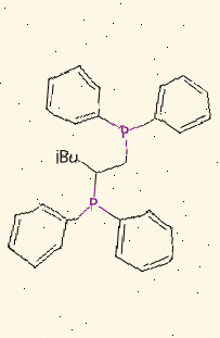 CCC(C)C(CP(c1ccccc1)c1ccccc1)P(c1ccccc1)c1ccccc1